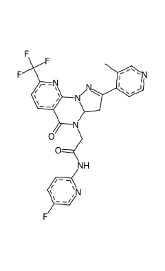 Cc1cnccc1C1=NN2c3nc(C(F)(F)F)ccc3C(=O)N(CC(=O)Nc3ccc(F)cn3)C2C1